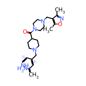 C=C(N)/C=C(\C=C/N)CN1CCC(C(=O)N2CCN(Cc3c(C)noc3C)CC2)CC1